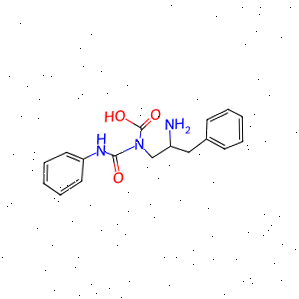 NC(Cc1ccccc1)CN(C(=O)O)C(=O)Nc1ccccc1